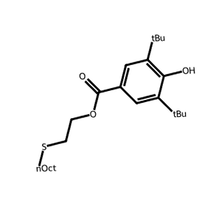 CCCCCCCCSCCOC(=O)c1cc(C(C)(C)C)c(O)c(C(C)(C)C)c1